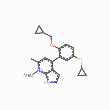 CO[n+]1c(C)cc(-c2cc(SC3CC3)ccc2OCC2CC2)c2cc[nH]c21